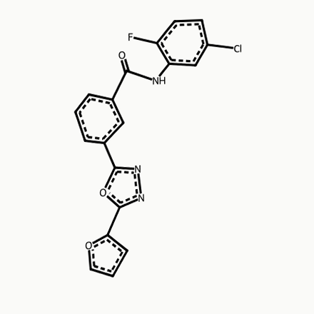 O=C(Nc1cc(Cl)ccc1F)c1cccc(-c2nnc(-c3ccco3)o2)c1